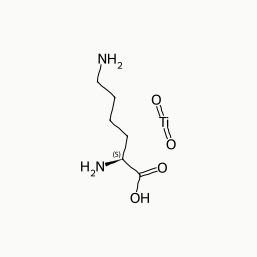 NCCCC[C@H](N)C(=O)O.[O]=[Ti]=[O]